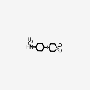 CNC1CCC(N2CCS(=O)(=O)CC2)CC1